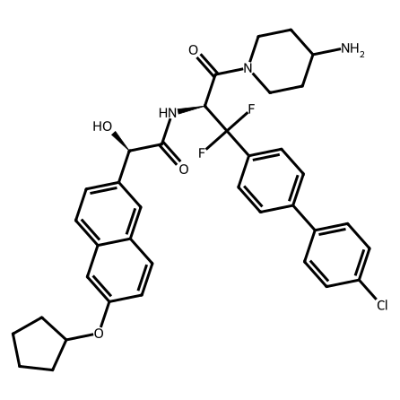 NC1CCN(C(=O)[C@H](NC(=O)[C@H](O)c2ccc3cc(OC4CCCC4)ccc3c2)C(F)(F)c2ccc(-c3ccc(Cl)cc3)cc2)CC1